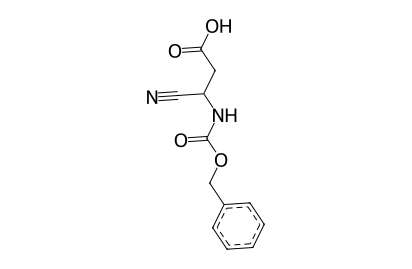 N#CC(CC(=O)O)NC(=O)OCc1ccccc1